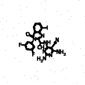 CC(Nc1nc(N)nc(N)c1C#N)c1nc2c(I)cccc2c(=O)n1-c1cc(F)cc(F)c1